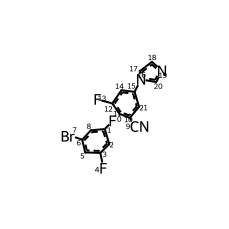 Fc1cc(F)cc(Br)c1.N#Cc1cc(F)cc(-n2ccnc2)c1